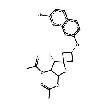 CC(=O)OC1O[C@]2(C[C@@H](Oc3ccc4ccc(Cl)nc4c3)C2)[C@@H](C)C1OC(C)=O